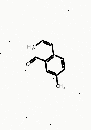 C/C=C\c1ccc(C)cc1C=O